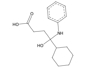 O=C(O)CCC(O)(Nc1ccccc1)C1CCCCC1